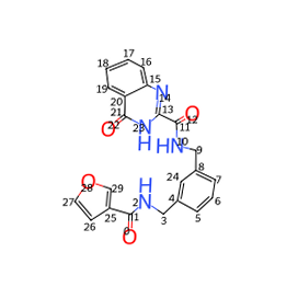 O=C(NCc1cccc(CNC(=O)c2nc3ccccc3c(=O)[nH]2)c1)c1ccoc1